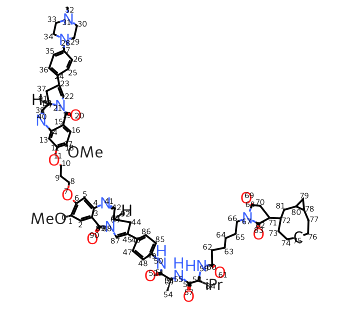 COc1cc2c(cc1OCCCOc1cc3c(cc1OC)C(=O)N1C=C(c4ccc(N5CCN(C)CC5)cc4)C[C@H]1C=N3)N=C[C@@H]1CC(c3ccc(NC(=O)[C@H](C)NC(=O)C(NC(=O)CCCCCN4C(=O)CC(C5CCCCCC6CC6C5)C4=O)C(C)C)cc3)=CN1C2=O